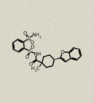 C[C@]1(C(=O)NS(=O)(=O)c2ccccc2S(N)(=O)=O)CC[C@H](c2cc3ccccc3o2)CC1